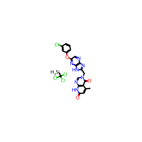 Cc1cc(=O)[nH]c2ncn(Cc3nc4ncc(Oc5cccc(Cl)c5)nc4[nH]3)c(=O)c12.[SiH3]C(Cl)(Cl)Cl